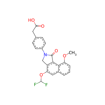 COc1cccc2cc(OC(F)F)c3c(c12)C(=O)N(c1ccc(CC(=O)O)cc1)C3